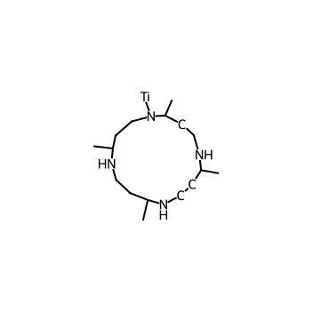 CC1CCNC(C)CC[N]([Ti])C(C)CCNC(C)CCN1